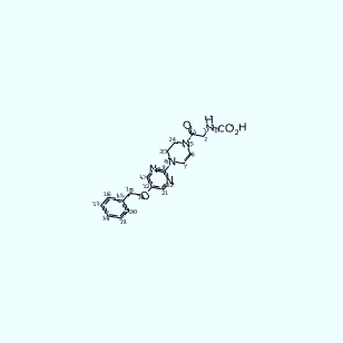 O=C(O)NCC(=O)N1CCN(c2ncc(OCc3ccccc3)cn2)CC1